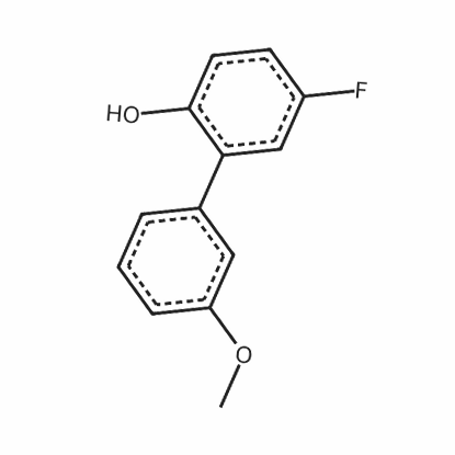 COc1cccc(-c2cc(F)ccc2O)c1